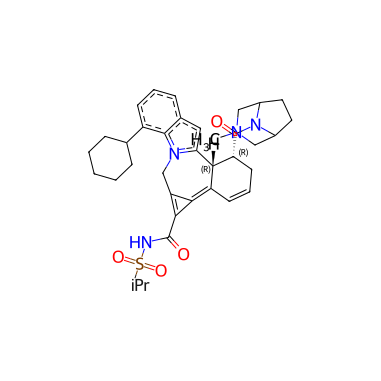 CC(C)S(=O)(=O)NC(=O)C1=C2Cn3c(cc4cccc(C5CCCCC5)c43)[C@H]3C(=C21)C=CC[C@H]3C(=O)N1C2CCC1CN(C)C2